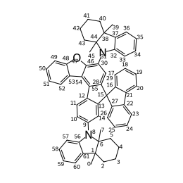 CC12CCCCC1(C)N(c1ccc3c(c1)C1(c4ccccc4-c4ccccc41)c1cc(N4c5ccccc5C5(C)CCCCC45C)c4oc5ccccc5c4c1-3)c1ccccc12